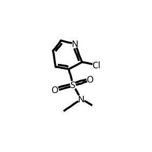 CN(C)S(=O)(=O)c1cccnc1Cl